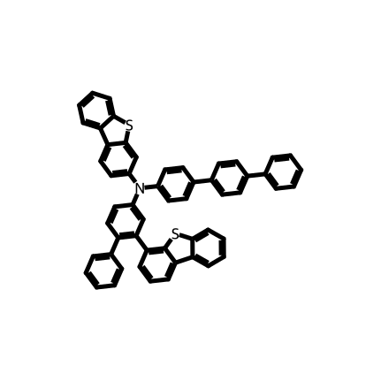 c1ccc(-c2ccc(-c3ccc(N(c4ccc(-c5ccccc5)c(-c5cccc6c5sc5ccccc56)c4)c4ccc5c(c4)sc4ccccc45)cc3)cc2)cc1